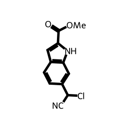 COC(=O)c1cc2ccc(C(Cl)C#N)cc2[nH]1